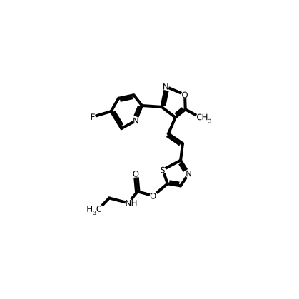 CCNC(=O)Oc1cnc(/C=C/c2c(-c3ccc(F)cn3)noc2C)s1